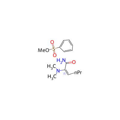 CCC/C=C(\C(N)=O)N(C)C.COS(=O)(=O)c1ccccc1